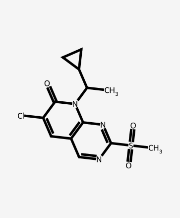 CC(C1CC1)n1c(=O)c(Cl)cc2cnc(S(C)(=O)=O)nc21